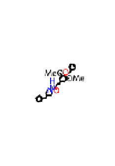 COc1cc(C=CC(=O)NN2CCC(Cc3ccccc3)CC2)cc(OC)c1OCc1ccccc1